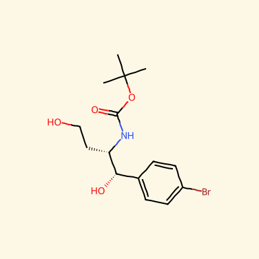 CC(C)(C)OC(=O)N[C@@H](CCO)[C@@H](O)c1ccc(Br)cc1